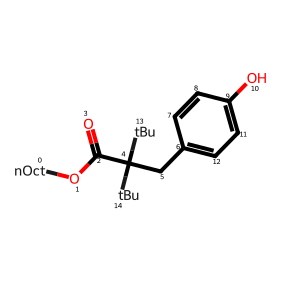 CCCCCCCCOC(=O)C(Cc1ccc(O)cc1)(C(C)(C)C)C(C)(C)C